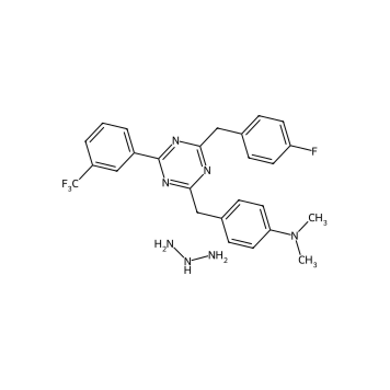 CN(C)c1ccc(Cc2nc(Cc3ccc(F)cc3)nc(-c3cccc(C(F)(F)F)c3)n2)cc1.NNN